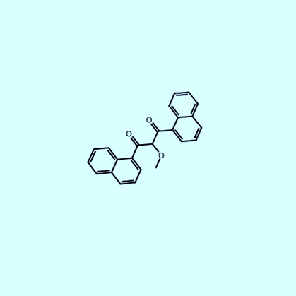 COC(C(=O)c1cccc2ccccc12)C(=O)c1cccc2ccccc12